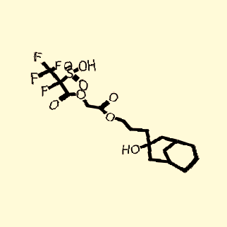 O=C(COC(=O)C(F)(C(F)(F)F)S(=O)(=O)O)OCCCC1(O)CC2CCCC(C2)C1